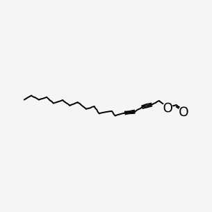 CCCCCCCCCCCCCC#CC#CCOC=O